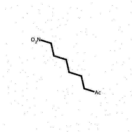 CC(=O)CCCCCC[N+](=O)[O-]